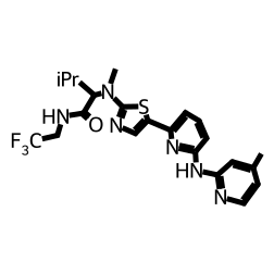 Cc1ccnc(Nc2cccc(-c3cnc(N(C)C(C(=O)NCC(F)(F)F)C(C)C)s3)n2)c1